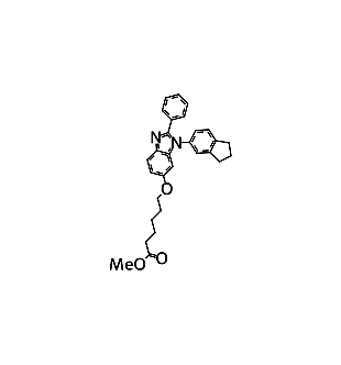 COC(=O)CCCCCOc1ccc2nc(-c3ccccc3)n(-c3ccc4c(c3)CCC4)c2c1